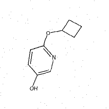 Oc1ccc(OC2CCC2)nc1